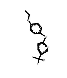 CCOc1ccc(Oc2ccc(C(F)(F)F)cn2)cc1